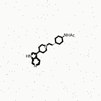 CC(=O)N[C@H]1CC[C@H](CCN2CCC(c3c[nH]c4cnccc34)CC2)CC1